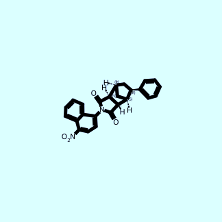 O=C1[C@@H]2[C@H]3C[C@H](C[C@H]3c3ccccc3)[C@@H]2C(=O)N1c1ccc([N+](=O)[O-])c2ccccc12